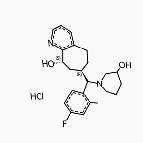 Cc1cc(F)ccc1C([C@@H]1CCc2cccnc2[C@@H](O)C1)N1CCCC(O)C1.Cl